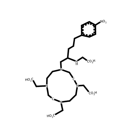 O=C(O)CNC(CCCc1ccc([N+](=O)[O-])cc1)CN1CCN(CC(=O)O)CCN(CC(=O)O)CCN(CC(=O)O)CC1